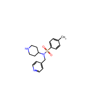 Cc1ccc(S(=O)(=O)N(Cc2ccncc2)C2CCNCC2)cc1